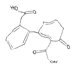 O=C(O)C1=C(c2ccccc2C(=O)O)C=CCC1=O